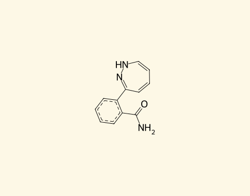 NC(=O)c1ccccc1C1=NNC=CC=C1